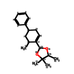 CC1CC(c2ccccc2)CC=C1B1OC(C)C(C)(C)O1